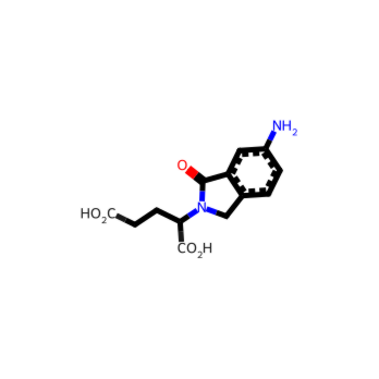 Nc1ccc2c(c1)C(=O)N(C(CCC(=O)O)C(=O)O)C2